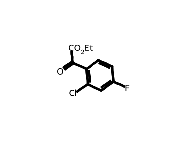 CCOC(=O)C(=O)c1ccc(F)cc1Cl